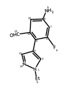 CCn1cc(-c2c(F)cc(N)cc2C=O)cn1